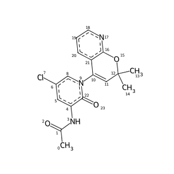 CC(=O)Nc1cc(Cl)cn(C2=CC(C)(C)Oc3ncccc32)c1=O